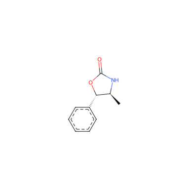 C[C@@H]1NC(=O)O[C@H]1c1ccccc1